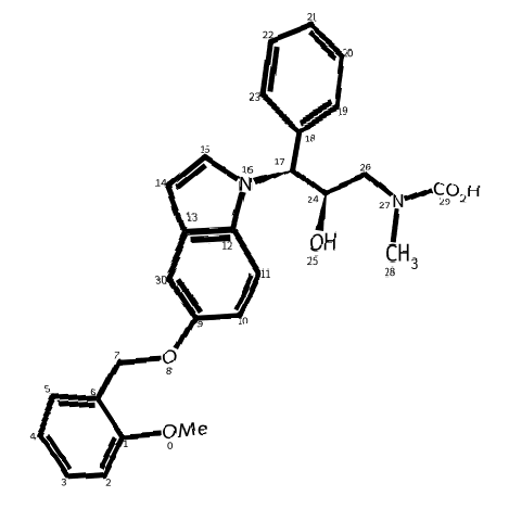 COc1ccccc1COc1ccc2c(ccn2[C@@H](c2ccccc2)[C@H](O)CN(C)C(=O)O)c1